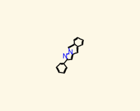 c1ccc(-c2cc3cc4ccccc4cn3n2)cc1